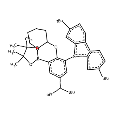 CCCC(c1cc(B2OC(C)(C)C(C)(C)O2)c(OC2CCCCO2)c(-n2c3cc(C(C)(C)C)ccc3c3ccc(C(C)(C)C)cc32)c1)C(C)(C)C